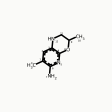 Cc1cc2c(nc1N)OC(C)CN2